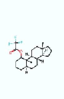 C[C@@]12CCC[C@H]1[C@@H]1CC[C@H]3CCCC(OC(=O)C(F)(F)F)[C@]3(C)[C@H]1CC2